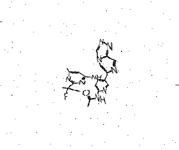 CC(=O)Nc1cc(Nc2cc(C)nc(C(C)(C)F)n2)c(-c2cn3cnnc3cn2)cn1